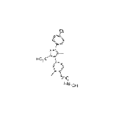 Cc1cc(-c2c(C(=O)O)sc(-c3ccc(Cl)cc3)c2C)ccc1SONO